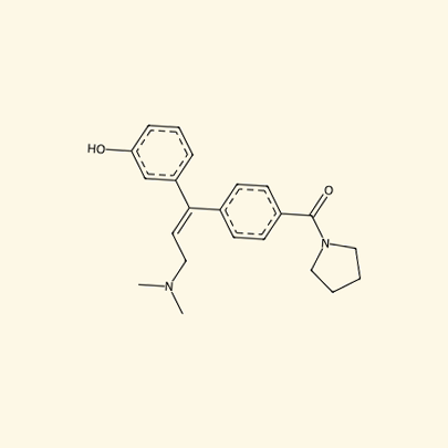 CN(C)C/C=C(\c1ccc(C(=O)N2CCCC2)cc1)c1cccc(O)c1